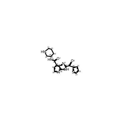 O=C(c1nc2c(C(=O)N[C@H]3CCCNC3)ccnc2[nH]1)c1cccs1